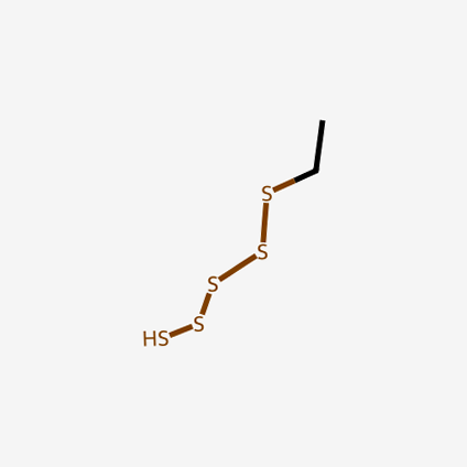 CCSSSSS